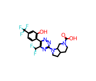 O=C(O)N1CCC2CCN(c3nnc(-c4ccc(C(F)(F)F)cc4O)c(C(F)F)n3)C2C1